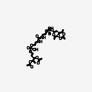 CC(=O)OC(C)[C@@H](CCOP(=O)(O)OCCNC(=O)NCCOP(=O)(O)OCC[C@@H](OC(C)=O)C(C)OC(C)=O)OC(C)=O